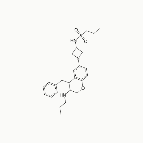 CCCNC1COc2ccc(N3CC(NS(=O)(=O)CCC)C3)cc2C1Cc1ccccc1